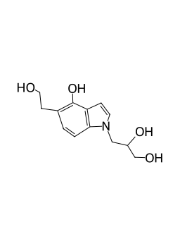 OCCc1ccc2c(ccn2CC(O)CO)c1O